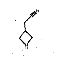 N#CCC1CNC1